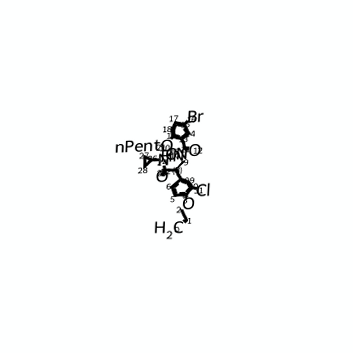 C=CCOc1ccc([C@H](CNC(=O)c2cc(Br)ccc2OCCCCC)C(=O)N(C#N)C2CC2)cc1Cl